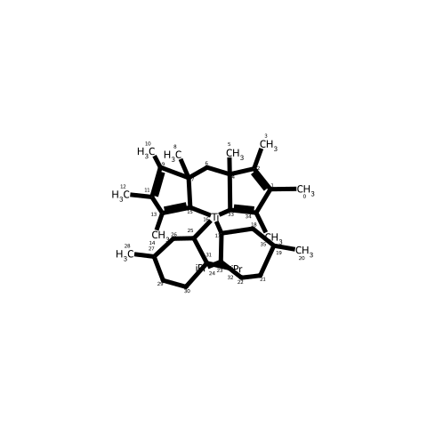 CC1=C(C)C2(C)CC3(C)C(C)=C(C)C(C)=[C]3[Ti]([CH]3CC(C)CCC3C(C)C)([CH]3CC(C)CCC3C(C)C)[C]2=C1C